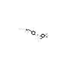 COC(=O)CC(c1ccc(NC(=O)[C@H]2NCc3cc(S(C)(=O)=O)ccc32)cc1)(C(F)(F)F)C(F)(F)F